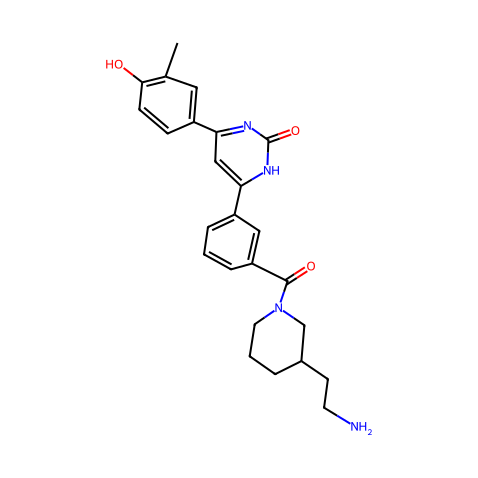 Cc1cc(-c2cc(-c3cccc(C(=O)N4CCCC(CCN)C4)c3)[nH]c(=O)n2)ccc1O